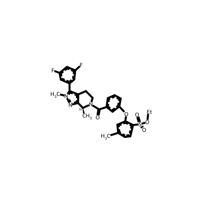 CCOS(=O)(=O)c1ccc(C)cc1Oc1cccc(C(=O)N2CCc3c(nn(C)c3-c3cc(F)cc(F)c3)[C@@H]2C)c1